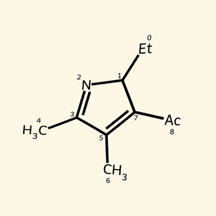 CCC1N=C(C)C(C)=C1C(C)=O